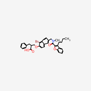 CCCCc1c(C(=O)N(C)Cc2ccc3c(Br)c(OCC(Cc4ccccc4)C(=O)O)ccc3c2)oc2ccccc12